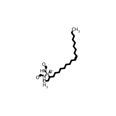 CCCCCCCC/C=C\CCCCCCCCC(CC)[N+]([O-])(NC=O)NC=O